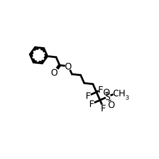 CS(=O)(=O)C(F)(F)C(F)(F)CCCCOC(=O)Cc1ccccc1